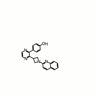 Oc1ccc(-c2nccnc2C2CN(c3ccc4ccccc4n3)C2)cc1